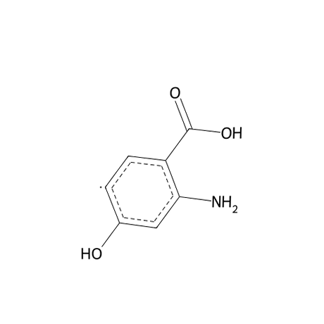 Nc1cc(O)[c]cc1C(=O)O